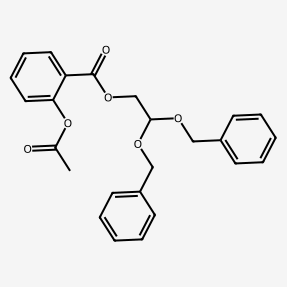 CC(=O)Oc1ccccc1C(=O)OCC(OCc1ccccc1)OCc1ccccc1